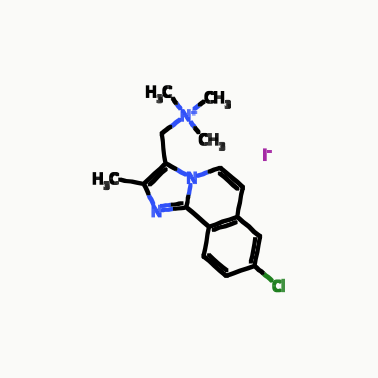 Cc1nc2c3ccc(Cl)cc3ccn2c1C[N+](C)(C)C.[I-]